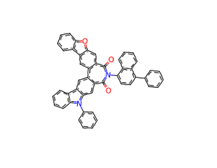 O=c1c2cc3oc4ccccc4c3cc2c2cc3c4ccccc4n(-c4ccccc4)c3cc2c(=O)n1-c1ccc(-c2ccccc2)c2ccccc12